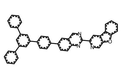 c1ccc(-c2cc(-c3ccccc3)cc(-c3ccc(-c4ccc5nc(-c6cc7c(cn6)oc6ccccc67)ncc5c4)cc3)c2)cc1